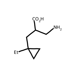 CCC1(CC(CN)C(=O)O)CC1